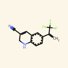 C=C(c1ccc2c(c1)C=C(C#N)CN2)C(F)(F)F